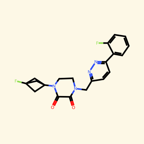 O=C1C(=O)N(C23CC(F)(C2)C3)CCN1Cc1ccc(-c2ccccc2F)nn1